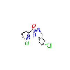 O=C(N/N=C\c1cccc(Cl)c1)c1cccc(Cl)n1